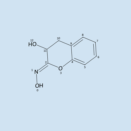 ON=C1Oc2ccccc2CC1O